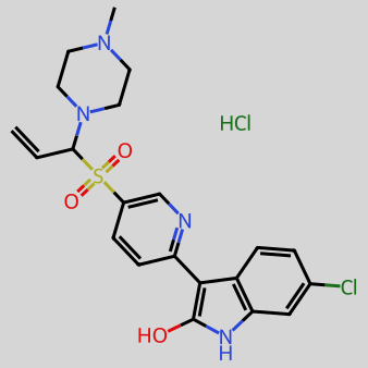 C=CC(N1CCN(C)CC1)S(=O)(=O)c1ccc(-c2c(O)[nH]c3cc(Cl)ccc23)nc1.Cl